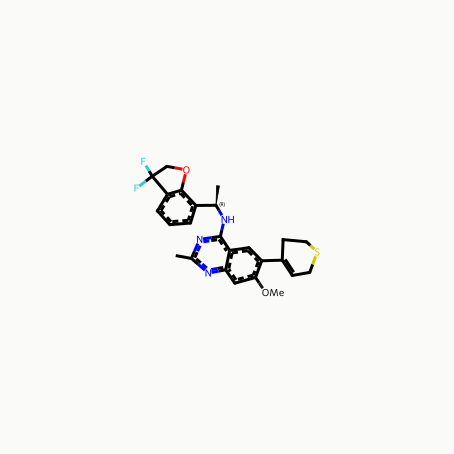 COc1cc2nc(C)nc(N[C@H](C)c3cccc4c3OCC4(F)F)c2cc1C1=CCSCC1